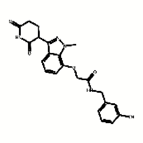 Cn1nc(C2CCC(=O)NC2=O)c2cccc(OCC(=O)NCc3cccc(C#N)c3)c21